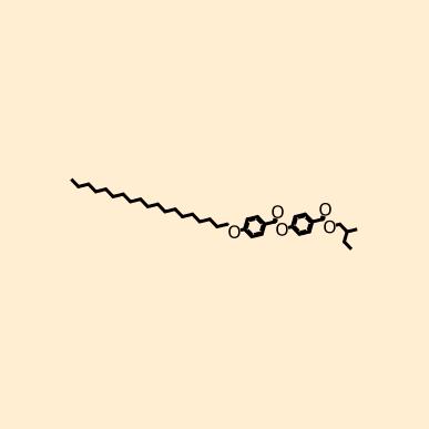 CCCCCCCCCCCCCCCCCCCOc1ccc(C(=O)Oc2ccc(C(=O)OCC(C)CC)cc2)cc1